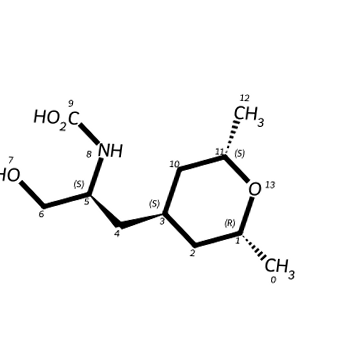 C[C@@H]1C[C@@H](C[C@@H](CO)NC(=O)O)C[C@H](C)O1